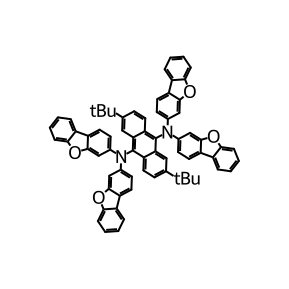 CC(C)(C)c1ccc2c(N(c3ccc4c(c3)oc3ccccc34)c3ccc4c(c3)oc3ccccc34)c3cc(C(C)(C)C)ccc3c(N(c3ccc4c(c3)oc3ccccc34)c3ccc4c(c3)oc3ccccc34)c2c1